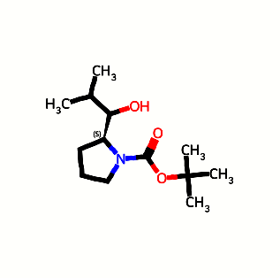 CC(C)C(O)[C@@H]1CCCN1C(=O)OC(C)(C)C